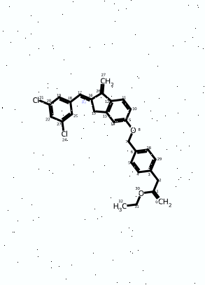 C=C(Cc1ccc(COc2ccc3c(c2)C/C(=C\c2cc(Cl)cc(Cl)c2)C3=C)cc1)OCC